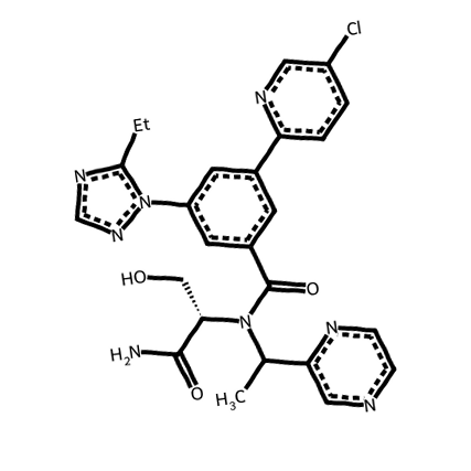 CCc1ncnn1-c1cc(C(=O)N(C(C)c2cnccn2)[C@@H](CO)C(N)=O)cc(-c2ccc(Cl)cn2)c1